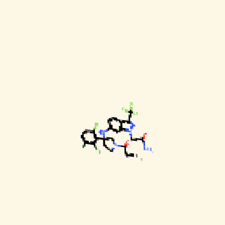 C=CC(=O)N1CC[C@@](Nc2ccc3c(C(F)(F)F)nn(CC(N)=O)c3c2)(c2c(F)ccc(Cl)c2Cl)C1